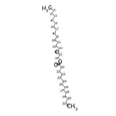 CCCCCCCCCCCCCCOCCOC(=O)CCCCCCCCCCCCC